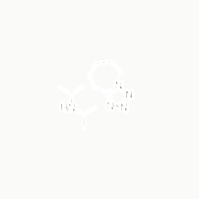 C1CCc2nnnn2CC1.CC(C)NC(C)C